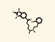 CC(CCCC(=O)c1ccc2c(c1)n(C)c(=O)n2C)N(C)CCc1ccccc1Cl